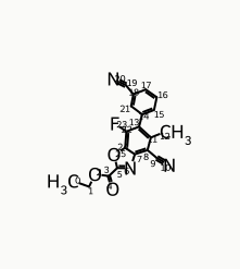 CCOC(=O)c1nc2c(C#N)c(C)c(-c3cccc(C#N)c3)c(F)c2o1